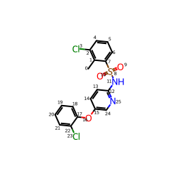 Cc1c(Cl)cccc1S(=O)(=O)Nc1ccc(Oc2ccccc2Cl)cn1